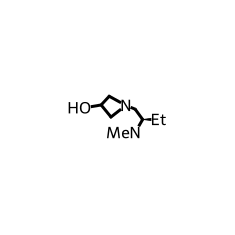 CC[C@H](CN1CC(O)C1)NC